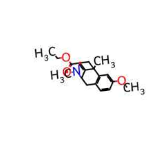 CCOC(=O)/C=C1\C2Cc3ccc(OC)cc3C1(C)CCN2C